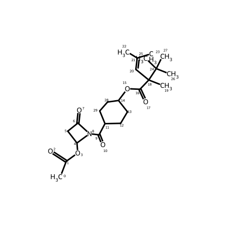 CC(=O)OC1CC(=O)N1C(=O)C1CCC(OC(=O)C(C)(C=C(C)C)C(C)(C)C)CC1